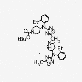 CCc1ccccc1N(c1noc(C)n1)C1CCN(C(=O)OC(C)(C)C)CC1.CCc1ccccc1N(c1noc(C)n1)C1CCNCC1